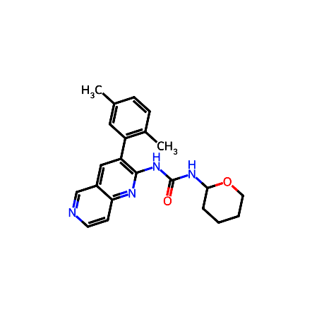 Cc1ccc(C)c(-c2cc3cnccc3nc2NC(=O)NC2CCCCO2)c1